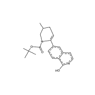 CC1CC=C(c2ccc3c(O)nccc3c2)N(C(=O)OC(C)(C)C)C1